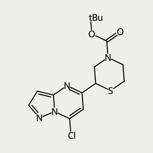 CC(C)(C)OC(=O)N1CCSC(c2cc(Cl)n3nccc3n2)C1